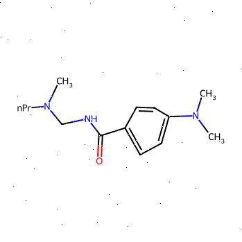 CCCN(C)CNC(=O)c1ccc(N(C)C)cc1